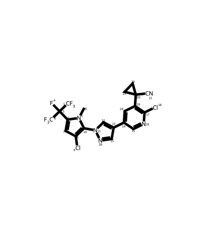 Cn1c(C(F)(C(F)(F)F)C(F)(F)F)cc(Cl)c1-n1cc(-c2cnc(Cl)c(C3(C#N)CC3)c2)cn1